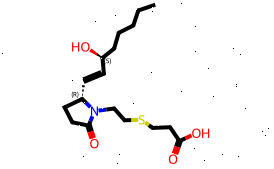 CCCCC[C@H](O)C=C[C@H]1CCC(=O)N1CCSCCC(=O)O